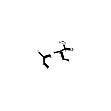 C/C=C(/C)C(=O)O.C=CC(=C)C